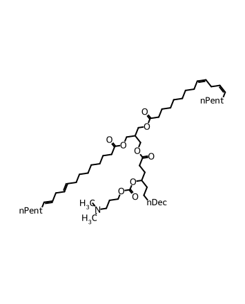 CCCCCC=CCC=CCCCCCCCC(=O)OCC(COC(=O)CCCCCCC/C=C\C/C=C\CCCCC)COC(=O)CCC(CCCCCCCCCCCC)OC(=O)OCCCN(C)C